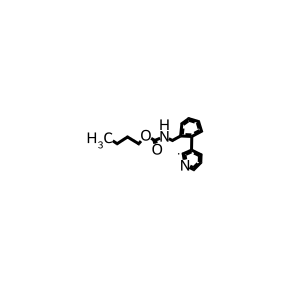 CCCCOC(=O)NCc1ccccc1-c1[c]nccc1